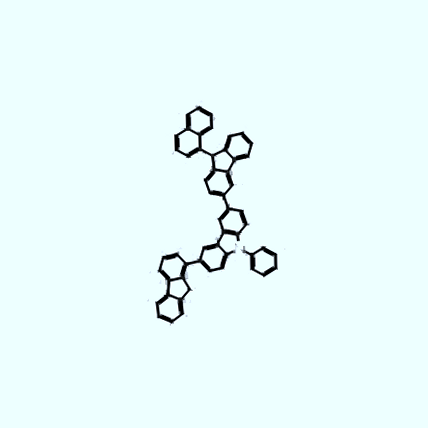 c1ccc(-n2c3ccc(-c4ccc5c(c4)-c4ccccc4C5c4cccc5ccccc45)cc3c3cc(-c4cccc5c4Cc4ccccc4-5)ccc32)cc1